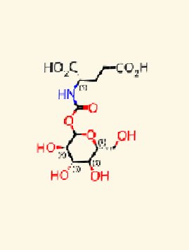 O=C(O)CC[C@H](NC(=O)OC1O[C@H](CO)[C@@H](O)[C@H](O)[C@H]1O)C(=O)O